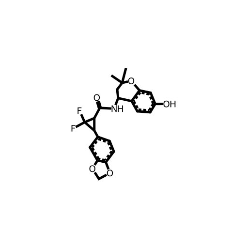 CC1(C)CC(NC(=O)C2C(c3ccc4c(c3)OCO4)C2(F)F)c2ccc(O)cc2O1